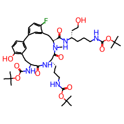 CN1C(=O)[C@H](CCCNC(=O)OC(C)(C)C)NC(=O)[C@@H](NC(=O)OC(C)(C)C)Cc2cc(ccc2O)-c2ccc(F)c(c2)C[C@H]1C(=O)N[C@H](CCO)CCCNC(=O)OC(C)(C)C